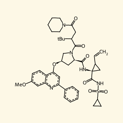 C=CC1C[C@]1(NC(=O)[C@H]1C[C@@H](Oc2cc(-c3ccccc3)nc3cc(OC)ccc23)CN1C(=O)C(CC(=O)N1CCCCC1)C(C)(C)C)C(=O)NS(=O)(=O)C1CC1